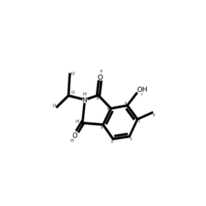 Cc1ccc2c(c1O)C(=O)N(C(C)C)C2=O